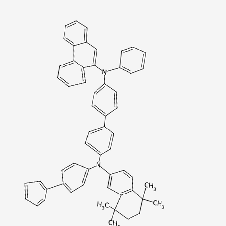 CC1(C)CCC(C)(C)c2cc(N(c3ccc(-c4ccccc4)cc3)c3ccc(-c4ccc(N(c5ccccc5)c5cc6ccccc6c6ccccc56)cc4)cc3)ccc21